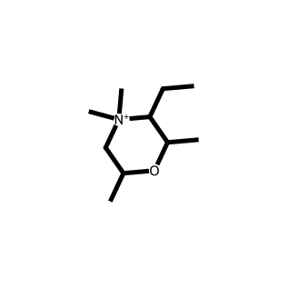 CCC1C(C)OC(C)C[N+]1(C)C